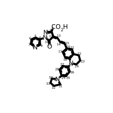 O=C(O)C1=NN(c2cccnc2)C(=O)/C1=C\C=C\c1ccc2c(c1)CCCN2c1ccc(N2CCCC2)cc1